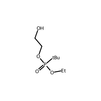 CCOP(=O)(OCCO)C(C)(C)C